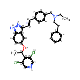 CCN(CCc1ccccc1)Cc1ccc(/C=C/c2n[nH]c3ccc(OC(C)c4c(Cl)cncc4Cl)cc23)cc1